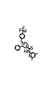 Cc1cc(C)nc(NC(=S)N2CCN(Cc3ccc(C(F)(F)F)cc3)C(c3ccccc3)C2)c1